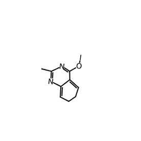 Cc1nc(OI)c2c(n1)=CCCC=2